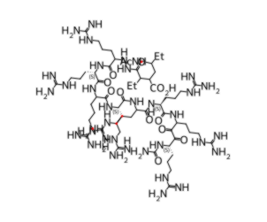 CCC(CC(C(=O)O)C(CC)C(=O)NNC(CCCNC(=N)N)C(=O)N[C@@H](CCCNC(=N)N)C(=O)NC(CCCNC(=N)N)C(=O)N[C@@H](CCCNC(=N)N)C(=O)NC(CCCNC(=N)N)C(=O)N[C@@H](CCCNC(=N)N)C(=O)NC(CCCNC(=N)N)C(=O)C(=O)[C@H](CCCNC(=N)N)NC(N)=O)NC(C)=O